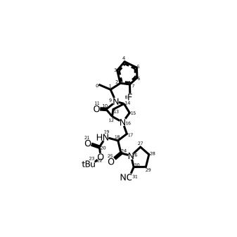 CC(c1ccccc1F)N1C(=O)C2CC1CN2CC(NC(=O)OC(C)(C)C)C(=O)N1CCCC1C#N